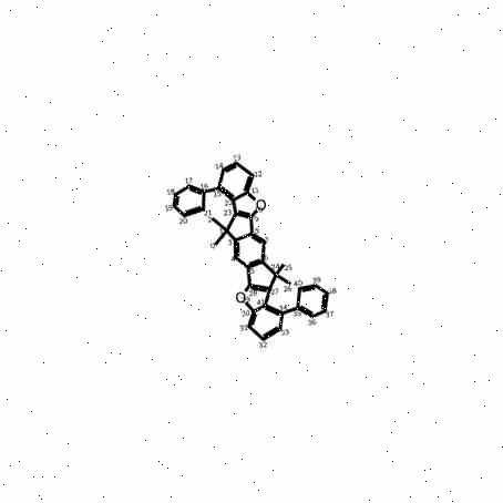 CC1(C)c2cc3c(cc2-c2oc4cccc(-c5ccccc5)c4c21)C(C)(C)c1c-3oc2cccc(-c3ccccc3)c12